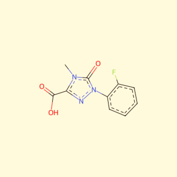 Cn1c(C(=O)O)nn(-c2ccccc2F)c1=O